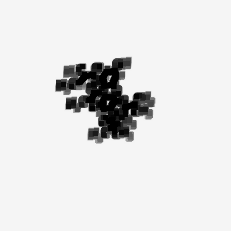 C=C(C)C(=O)Oc1c(OC(=O)C(C)CC)cc(O)cc1Oc1cccc(OC(=O)C(C)(C)C)c1OC(=O)C(=C)C